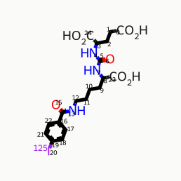 O=C(O)CCC(NC(=O)NC(CCCCNC(=O)c1ccc([125I])cc1)C(=O)O)C(=O)O